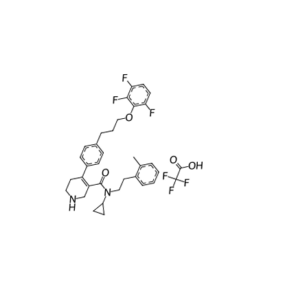 Cc1ccccc1CCN(C(=O)C1=C(c2ccc(CCCOc3c(F)ccc(F)c3F)cc2)CCNC1)C1CC1.O=C(O)C(F)(F)F